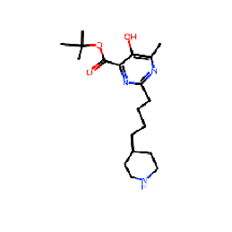 Cc1nc(CCCCC2CCNCC2)nc(C(=O)OC(C)(C)C)c1O